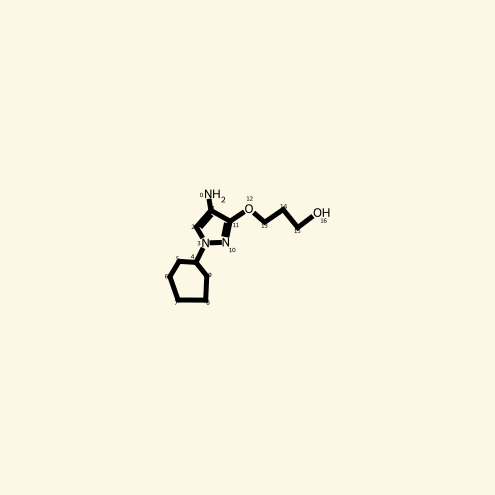 Nc1cn(C2CCCCC2)nc1OCCCO